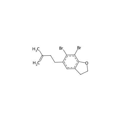 C=C(C)CCc1cc2c(c(Br)c1Br)OCC2